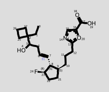 CCC1(C(O)C/C=C/[C@@H]2[C@@H](CCCc3ncc(C(=O)O)o3)CC[C@H]2F)CCC1